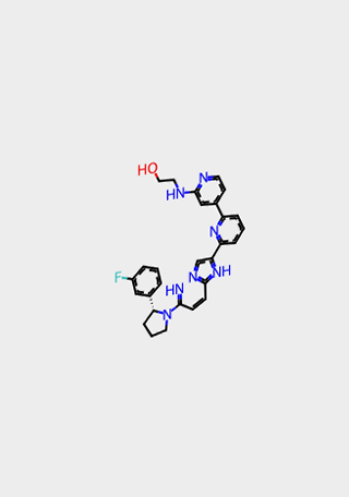 N=C(/C=C\c1ncc(-c2cccc(-c3ccnc(NCCO)c3)n2)[nH]1)N1CCC[C@@H]1c1cccc(F)c1